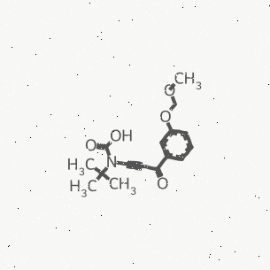 COCOc1cccc(C(=O)C#CN(C(=O)O)C(C)(C)C)c1